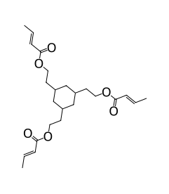 CC=CC(=O)OCCC1CC(CCOC(=O)C=CC)CC(CCOC(=O)C=CC)C1